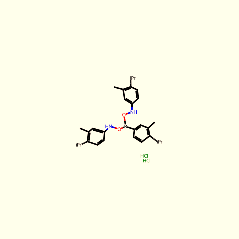 Cc1cc(NOB(ONc2ccc(C(C)C)c(C)c2)c2ccc(C(C)C)c(C)c2)ccc1C(C)C.Cl.Cl